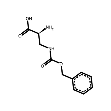 N[C@@H](CNC(=O)OCc1ccccc1)C(=O)O